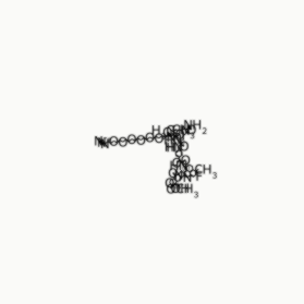 CC[C@@]1(O)C(=O)OCc2c1cc1n(c2=O)Cc2c-1nc1cc(F)c(C)c3c1c2[C@@H](NC(=O)C(=O)c1ccc(NC(=O)[C@H](CCCNC(N)=O)NC(=O)[C@@H](NC(=O)CCOCCOCCOCCOCCOCCOCCN=[N+]=[N-])C(C)C)cc1)CC3